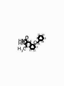 CCc1[nH][nH]c(=O)c1Cc1ccccc1OCc1ccccc1